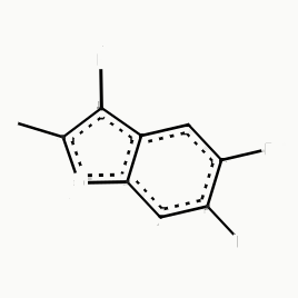 [CH2]c1oc2cc(F)c(F)cc2c1F